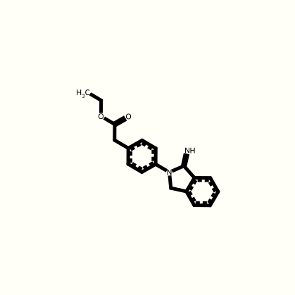 CCOC(=O)Cc1ccc(N2Cc3ccccc3C2=N)cc1